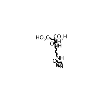 O=C(O)CC[C@H](NC(=O)NCCCCCNC(=O)c1ccncn1)C(=O)O